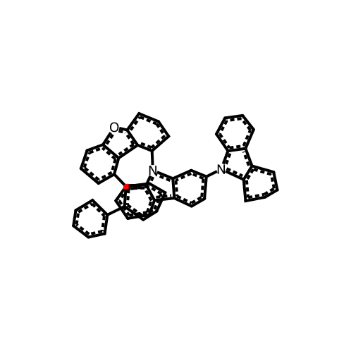 c1ccc(-c2ccccc2-c2cccc3oc4cccc(-n5c6ccccc6c6ccc(-n7c8ccccc8c8ccccc87)cc65)c4c23)cc1